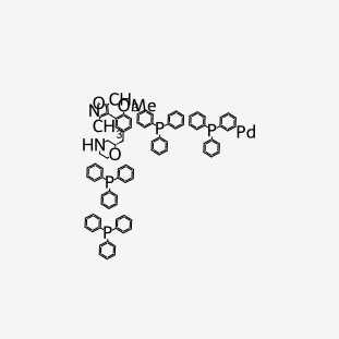 COc1ccc(C[C@@H]2CNCCO2)cc1-c1c(C)noc1C.[Pd].c1ccc(P(c2ccccc2)c2ccccc2)cc1.c1ccc(P(c2ccccc2)c2ccccc2)cc1.c1ccc(P(c2ccccc2)c2ccccc2)cc1.c1ccc(P(c2ccccc2)c2ccccc2)cc1